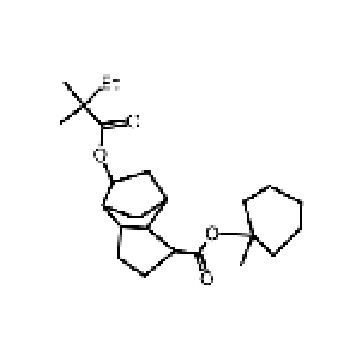 CCC(C)(C)C(=O)OC1CC2CCC1C1CCC(C(=O)OC3(C)CCCCC3)C21